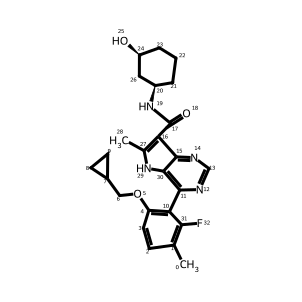 Cc1ccc(OCC2CC2)c(-c2ncnc3c(C(=O)N[C@@H]4CCC[C@H](O)C4)c(C)[nH]c23)c1F